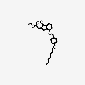 CCCCCCCOc1ccc(COc2cccc3c2CC(CC(=O)OCC)C3=O)cc1